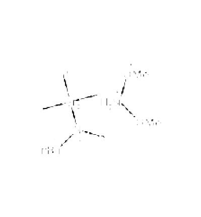 CCCCN(C)[Si](C)(C)C.CO[SiH2]OC